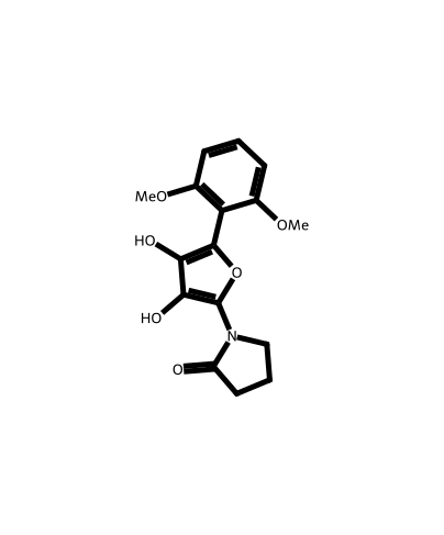 COc1cccc(OC)c1-c1oc(N2CCCC2=O)c(O)c1O